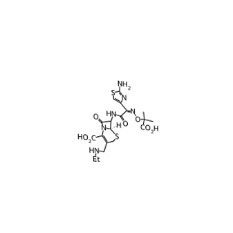 CCNCC1=C(C(=O)O)N2C(=O)C(NC(=O)/C(=N\OC(C)(C)C(=O)O)c3csc(N)n3)[C@H]2SC1